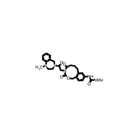 CNC(=O)Nc1ccc2c(c1)CCCC(=O)N(CC(=O)N1CCN(C)c3ccccc3C1)C(=O)OC2